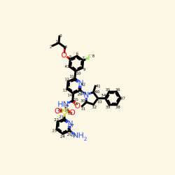 CC(C)COc1cc(F)cc(-c2ccc(C(=O)NS(=O)(=O)c3cccc(N)n3)c(N3C(C)CC(c4ccccc4)C3C)n2)c1